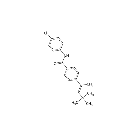 C/C(=C\C(C)(C)C)c1ccc(C(=O)Nc2ccc(Cl)cc2)cc1